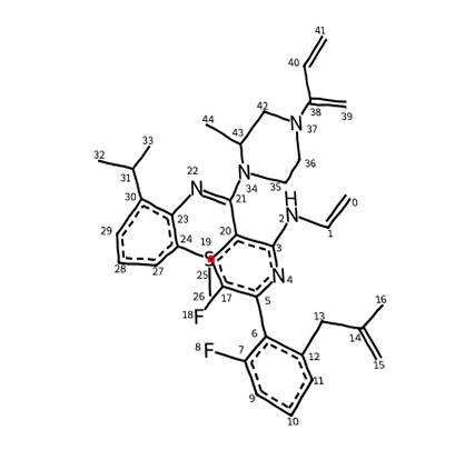 C=CNc1nc(-c2c(F)cccc2CC(=C)C)c(F)cc1/C(=N\c1c(SC)cccc1C(C)C)N1CCN(C(=C)C=C)CC1C